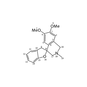 COc1cc2c(cc1OC)C1(Cc3ccccc3O1)CN(C)C2